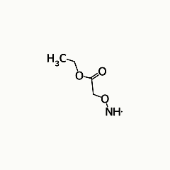 CCOC(=O)CO[NH]